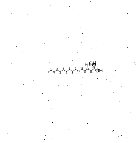 CCCCCCCCCCCCCC(CO)CC(=O)O